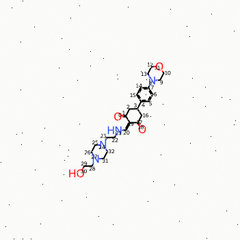 O=C1CC(c2ccc(N3CCOCC3)cc2)CC(=O)C1=CNCCN1CCN(CCO)CC1